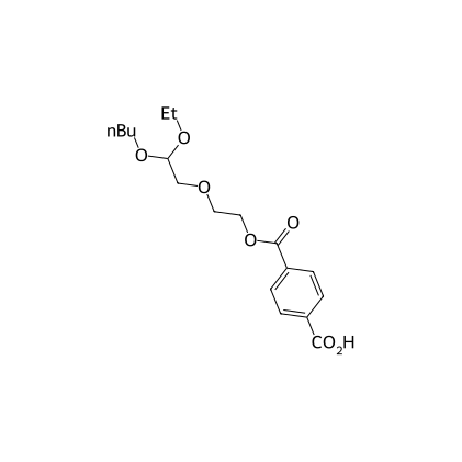 CCCCOC(COCCOC(=O)c1ccc(C(=O)O)cc1)OCC